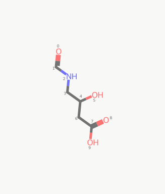 O=CNCC(O)CC(=O)O